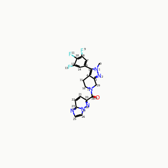 Cn1nc2c(c1-c1cc(F)c(F)c(F)c1)CCN(C(=O)c1ccc3nccn3n1)C2